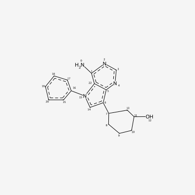 Nc1ncnc2c(C3CCCC(O)C3)cn(-c3ccccc3)c12